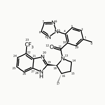 Cc1ccc(-n2nccn2)c(C(=O)N2CC[C@H](C)[C@H]2c2nc3c(C(F)(F)F)cccc3[nH]2)c1